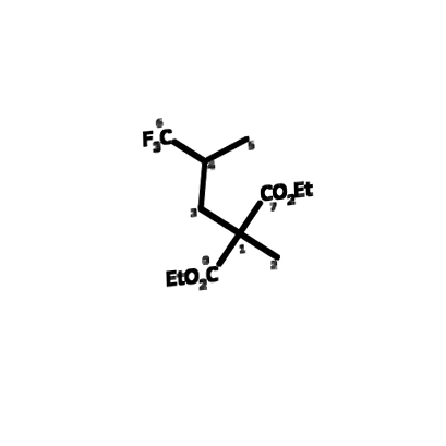 CCOC(=O)C(C)(CC(C)C(F)(F)F)C(=O)OCC